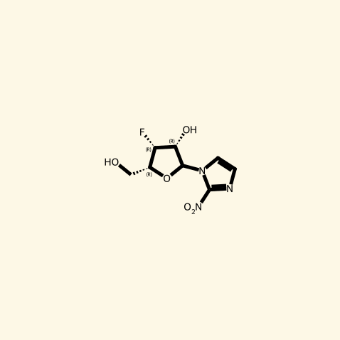 O=[N+]([O-])c1nccn1C1O[C@H](CO)[C@H](F)[C@@H]1O